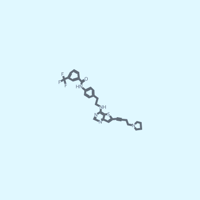 O=C(Nc1ccc(CCNc2ncnc3cc(C#CCCN4CCCC4)sc23)cc1)c1cccc(C(F)(F)F)c1